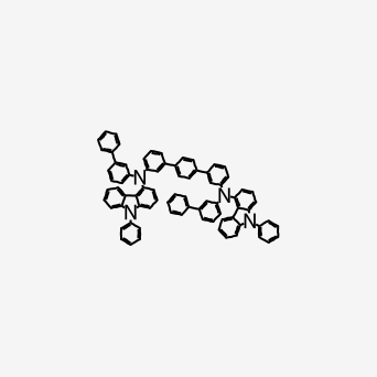 c1ccc(-c2cccc(N(c3cccc(-c4ccc(-c5cccc(N(c6cccc(-c7ccccc7)c6)c6cccc7c6c6ccccc6n7-c6ccccc6)c5)cc4)c3)c3cccc4c3c3ccccc3n4-c3ccccc3)c2)cc1